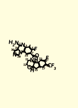 Nc1nc2cc(F)c(C(=O)N3CCO[C@@H]4Cc5cc(C(F)(F)F)c(F)cc5[C@@H]43)cc2n2cncc12